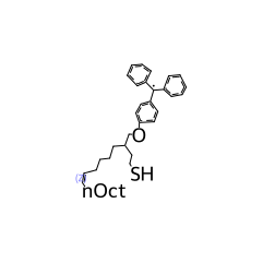 CCCCCCCC/C=C\CCCCC(CCS)COc1ccc([C](c2ccccc2)c2ccccc2)cc1